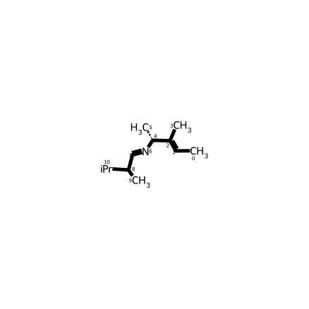 C/C=C(\C)[C@@H](C)/N=C/C(C)C(C)C